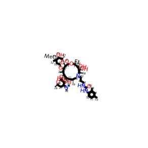 CC[C@H]1OC(=O)[C@H](C)[C@@H](O[C@H]2C[C@@](C)(OC)[C@@H](O)[C@H](C)O2)[C@H](C)[C@@H](O[C@@H]2O[C@H](C)C[C@H](N(C)C)[C@H]2O)[C@](C)(O)C[C@@H](C)CN(CCCNC(=O)Nc2ccc(C)cc2C)[C@H](C)[C@@H](O)[C@]1(C)O